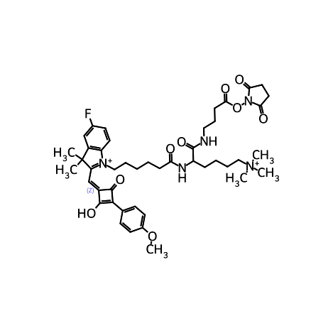 COc1ccc(C2=C(O)/C(=C/C3=[N+](CCCCCC(=O)NC(CCCC[N+](C)(C)C)C(=O)NCCCC(=O)ON4C(=O)CCC4=O)c4ccc(F)cc4C3(C)C)C2=O)cc1